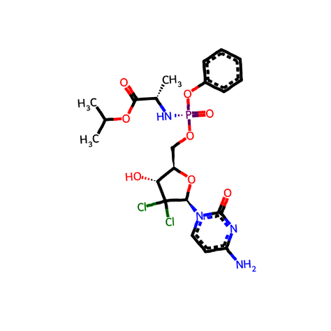 CC(C)OC(=O)[C@H](C)N[P@](=O)(OC[C@H]1O[C@@H](n2ccc(N)nc2=O)C(Cl)(Cl)[C@@H]1O)Oc1ccccc1